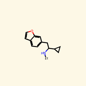 CCNC(Cc1ccc2ccoc2c1)C1CC1